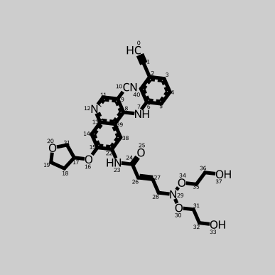 C#Cc1cccc(Nc2c(C#N)cnc3cc(OC4CCOC4)c(NC(=O)C=CCN(OCCO)OCCO)cc23)c1